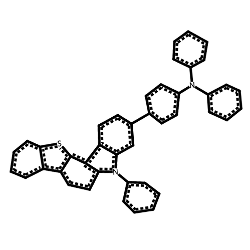 c1ccc(N(c2ccccc2)c2ccc(-c3ccc4c5c6sc7ccccc7c6ccc5n(-c5ccccc5)c4c3)cc2)cc1